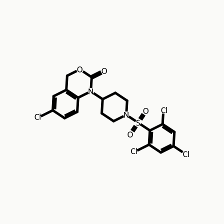 O=C1OCc2cc(Cl)ccc2N1C1CCN(S(=O)(=O)c2c(Cl)cc(Cl)cc2Cl)CC1